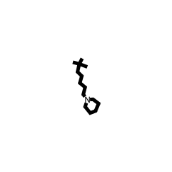 CC(C)(C)CCCCCN1CCCCC1